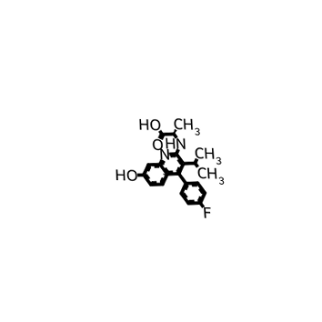 CC(C)c1c(N[C@H](C)C(=O)O)nc2cc(O)ccc2c1-c1ccc(F)cc1